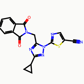 N#Cc1cnc(-n2nc(C3CC3)nc2CN2C(=O)c3ccccc3C2=O)s1